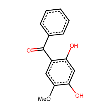 COc1cc(C(=O)c2ccccc2)c(O)cc1O